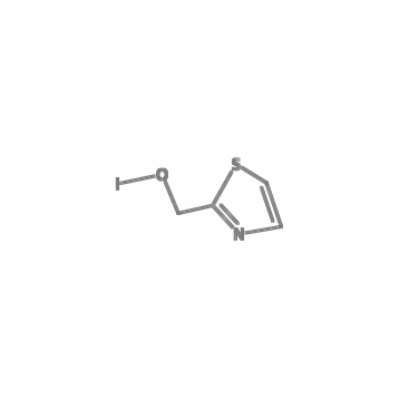 IOCc1nccs1